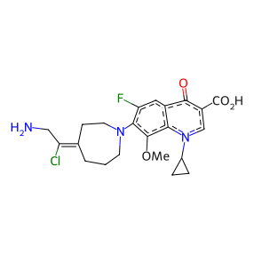 COc1c(N2CCCC(=C(Cl)CN)CC2)c(F)cc2c(=O)c(C(=O)O)cn(C3CC3)c12